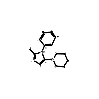 Cc1ncc(N2CCCCC2)n1-c1ccccc1